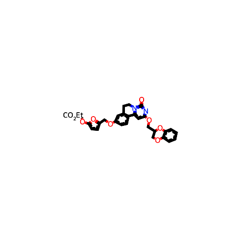 CCOC(=O)Oc1ccc(COc2ccc3c(c2)CCn2c-3cc(OCC3COc4ccccc4O3)nc2=O)o1